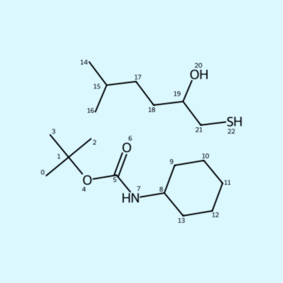 CC(C)(C)OC(=O)NC1CCCCC1.CC(C)CCC(O)CS